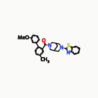 COc1cccc(-c2ccc(C)cc2C(=O)N2CC3CC(C2)CN(c2nc4ccccc4s2)C3)c1